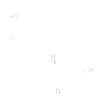 CCCOCCc1[c]nc(C)[nH]1